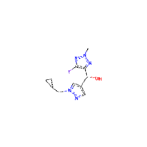 Cn1nc(I)c(C(O)c2cnn(CC3CC3)c2)n1